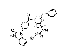 CC(C)(C)OC(=O)NC(C)(C)C(=O)NC(COCc1ccccc1)C(=O)N1CCC(n2c(=O)[nH]c3ccccc32)CC1